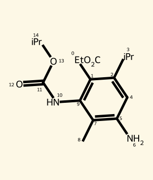 CCOC(=O)c1c(C(C)C)cc(N)c(C)c1NC(=O)OC(C)C